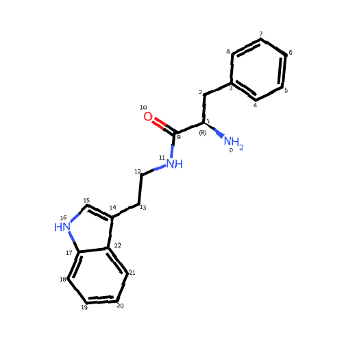 N[C@H](Cc1ccccc1)C(=O)NCCc1c[nH]c2ccccc12